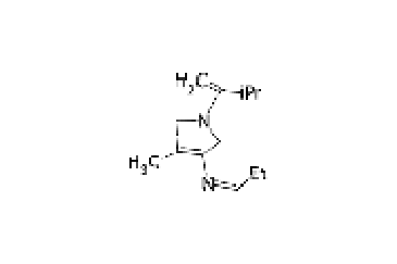 C=C(C(C)C)N1CC(C)=C(/N=C\CC)C1